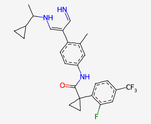 Cc1cc(NC(=O)C2(c3ccc(C(F)(F)F)cc3F)CC2)ccc1/C(C=N)=C/NC(C)C1CC1